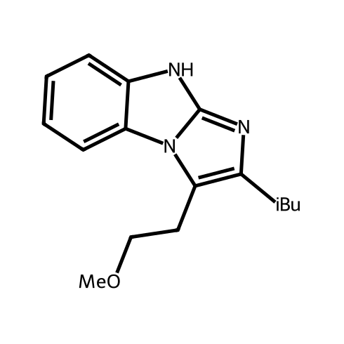 CCC(C)c1nc2[nH]c3ccccc3n2c1CCOC